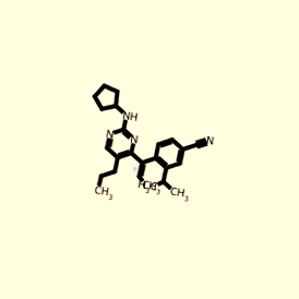 C/C=C(\c1ccc(C#N)cc1C(C)C)c1nc(NC2CCCC2)ncc1CCC